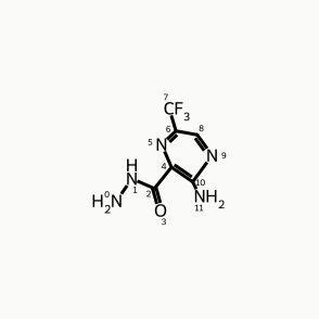 NNC(=O)c1nc(C(F)(F)F)cnc1N